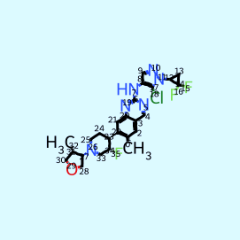 Cc1cc2cnc(Nc3cnn(C4CC4(F)F)c3Cl)nc2cc1[C@@H]1CCN([C@H]2COC[C@H]2C)C[C@H]1F